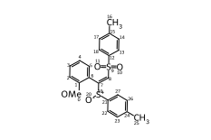 COc1ccccc1/C(=C\S(=O)(=O)c1ccc(C)cc1)[S+]([O-])c1ccc(C)cc1